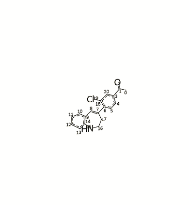 CC(=O)c1ccc(C2=Cc3ccccc3NCC2)c(Cl)c1